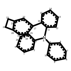 c1ccc(N(c2ccccc2)c2ccccc2-c2ccc3c(c2)CC3)cc1